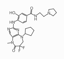 CN1C(=O)C(F)(F)CN(C2CCCC2)c2nc(Nc3ccc(C(=O)NCCN4CCCC4)cc3O)ncc21